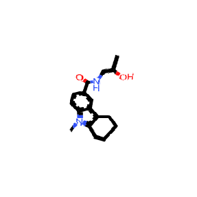 CC(O)CNC(=O)c1ccc2c(c1)c1c(n2C)CCCC1